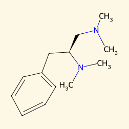 CN(C)C[C@H](Cc1ccccc1)N(C)C